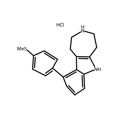 CSc1ccc(-c2cccc3[nH]c4c(c23)CCNCC4)cc1.Cl